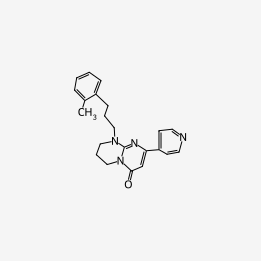 Cc1ccccc1CCCN1CCCn2c1nc(-c1ccncc1)cc2=O